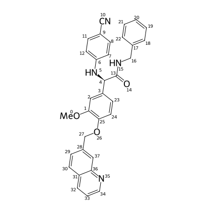 COc1cc([C@@H](Nc2ccc(C#N)cc2)C(=O)NCc2ccccc2)ccc1OCc1ccc2cccnc2c1